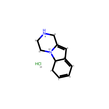 C1=CCC2C(=C1)C=C1CNCCN12.Cl